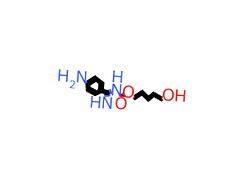 N=C(NC(=O)OCCCCCO)c1ccc(N)cc1